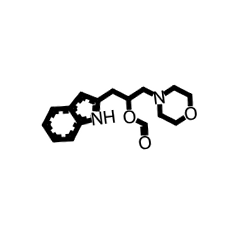 O=COC(Cc1cc2ccccc2[nH]1)CN1CCOCC1